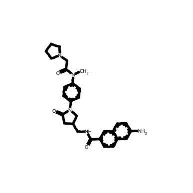 CN(C(=O)CN1CCCC1)c1ccc(N2CC(CNC(=O)c3ccc4cc(N)ccc4c3)CC2=O)cc1